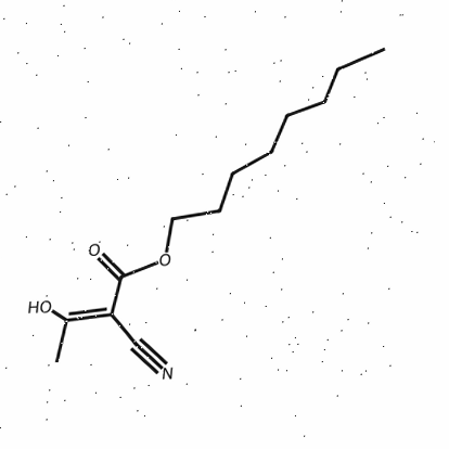 CCCCCCCCOC(=O)/C(C#N)=C(/C)O